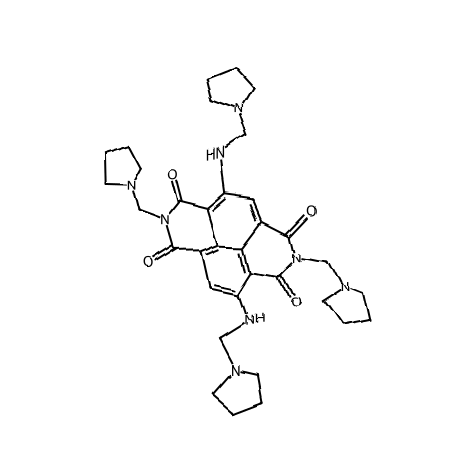 O=C1c2cc(NCN3CCCC3)c3c4c(cc(NCN5CCCC5)c(c24)C(=O)N1CN1CCCC1)C(=O)N(CN1CCCC1)C3=O